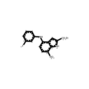 CCOC(=O)c1cc2c(Nc3cccc(F)c3)ccc([N+](=O)[O-])c2[nH]1